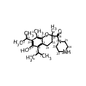 Cc1c2c(c(C(C)C)c(O)c1C(C)C)CCC(C)(C(=O)N1CCNCC1)O2